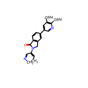 C/C=C(\C=N/C)N1Cc2cc(-c3cnc(OC)c(OC)c3)ccc2C1=O